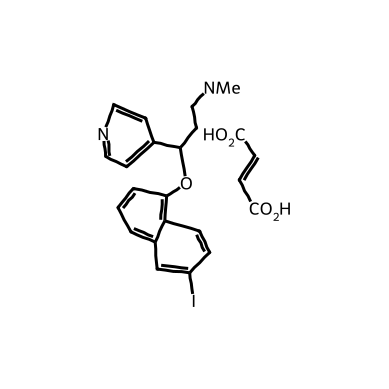 CNCCC(Oc1cccc2cc(I)ccc12)c1ccncc1.O=C(O)C=CC(=O)O